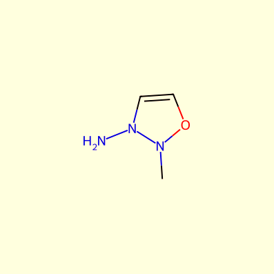 CN1OC=CN1N